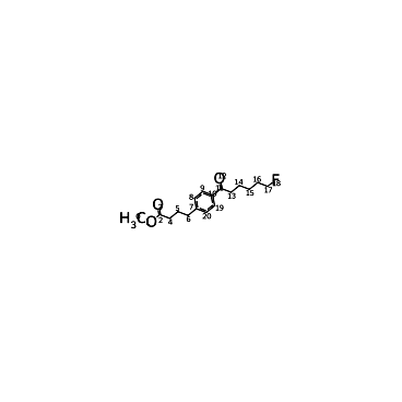 COC(=O)CCCc1ccc(C(=O)CCCCCF)cc1